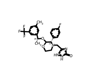 Cc1cc([C@@H](C)OC2OCCN(Cc3nc(=O)[nH][nH]3)[C@H]2c2ccc(F)cc2)cc(C(F)(F)F)c1